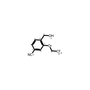 N#Cc1ccc(CO)c(OCC(F)(F)F)c1